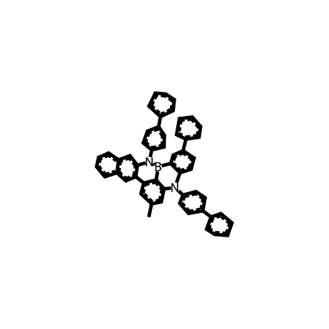 Cc1cc2c3c(c1)N(c1ccc(-c4ccccc4)cc1)c1ccc(-c4ccccc4)cc1B3N(c1ccc(-c3ccccc3)cc1)c1cc3ccccc3cc1-2